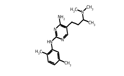 Cc1ccc(C)c(Nc2ncc(CCC(C)N(C)C)c(N)n2)c1